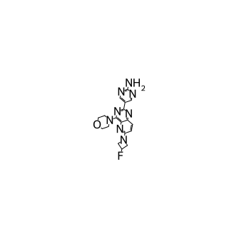 Nc1ncc(-c2nc(N3CCOCC3)c3nc(N4CC(F)C4)ccc3n2)cn1